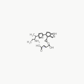 CCC(N)C(C)c1ccc(-c2ccc3[nH]ncc3c2C2CC2)nc1.O=C(O)/C=C/C(=O)O